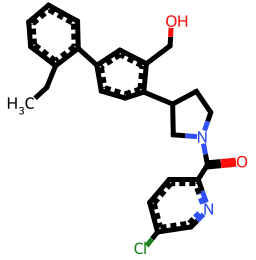 CCc1ccccc1-c1ccc(C2CCN(C(=O)c3ccc(Cl)cn3)C2)c(CO)c1